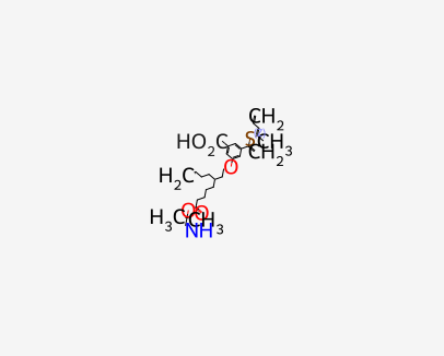 C=C/C=C(/C)SC(=C)c1cc(OCCC(CCC=C)CCCCC(=O)OC(C)(C)C=N)cc(C(=O)O)c1